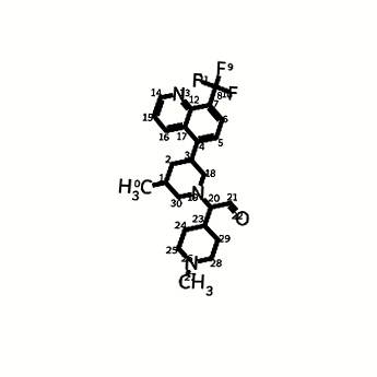 CC1CC(c2ccc(C(F)(F)F)c3ncccc23)CN(C(C=O)C2CCN(C)CC2)C1